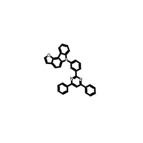 c1ccc(-c2cc(-c3ccccc3)nc(-c3cccc(-n4c5ccccc5c5c6occc6ccc54)c3)n2)cc1